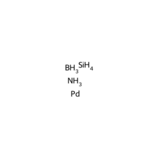 B.N.[Pd].[SiH4]